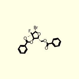 C[C@@]1(F)C(OC(=O)c2ccccc2)[C@@H](COC(=O)c2ccccc2)O[C@H]1Br